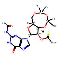 CSC(=S)O[C@@H]1[C@@H]2O[Si](C(C)C)(C(C)C)O[Si](C(C)C)(C(C)C)OC[C@H]2O[C@H]1n1cnc2c(=O)[nH]c(NC(=O)C(C)C)nc21